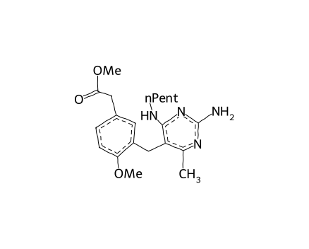 CCCCCNc1nc(N)nc(C)c1Cc1cc(CC(=O)OC)ccc1OC